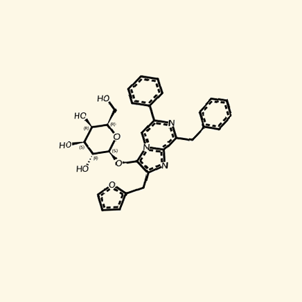 OC[C@H]1O[C@@H](Oc2c(Cc3ccco3)nc3c(Cc4ccccc4)nc(-c4ccccc4)cn23)[C@H](O)[C@@H](O)[C@H]1O